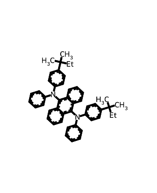 CCC(C)(C)c1ccc(N(c2ccccc2)c2c3ccccc3c(N(c3ccccc3)c3ccc(C(C)(C)CC)cc3)c3ccccc23)cc1